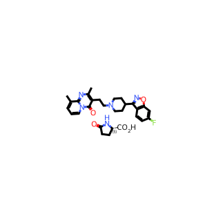 Cc1nc2c(C)cccn2c(=O)c1CCN1CCC(c2noc3cc(F)ccc23)CC1.O=C1CC[C@@H](C(=O)O)N1